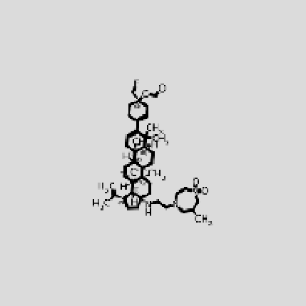 C=C(C)[C@@H]1CC[C@]2(NCCN3CCS(=O)(=O)CC(C)C3)CC[C@]3(C)[C@H](CC[C@@H]4[C@@]5(C)CC=C(C6=CC[C@@](CF)(OC=O)CC6)C(C)(C)[C@@H]5CC[C@]43C)[C@@H]12